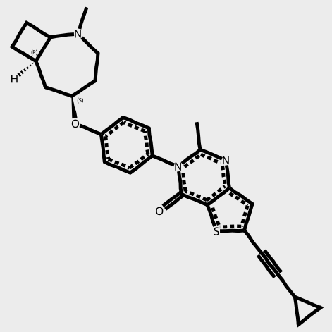 Cc1nc2cc(C#CC3CC3)sc2c(=O)n1-c1ccc(O[C@@H]2CCN(C)C3CC[C@@H]3C2)cc1